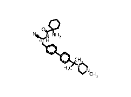 CN1CCN(C(C)(C)c2ccc(-c3ccc(C[C@@H](C#N)NC(=O)C4(N)CCCCC4)cc3)cc2)CC1